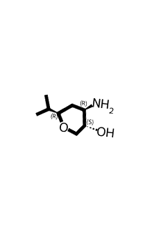 CC(C)[C@H]1C[C@@H](N)[C@H](O)CO1